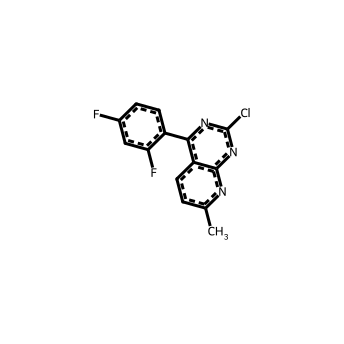 Cc1ccc2c(-c3ccc(F)cc3F)nc(Cl)nc2n1